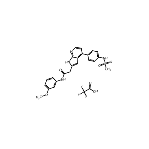 COc1cccc(NC(=O)Cc2cc3c(-c4ccc(NS(C)(=O)=O)cc4)ccnc3[nH]2)c1.O=C(O)C(F)(F)F